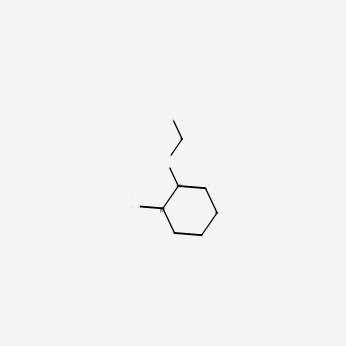 CC(C)(C)CSC1CCCCC1C(C)(C)C